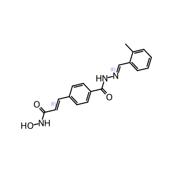 Cc1ccccc1/C=N/NC(=O)c1ccc(/C=C/C(=O)NO)cc1